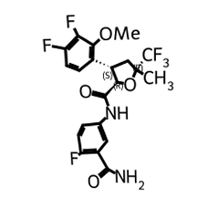 COc1c([C@@H]2C[C@](C)(C(F)(F)F)O[C@H]2C(=O)Nc2ccc(F)c(C(N)=O)c2)ccc(F)c1F